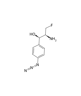 [N-]=[N+]=Nc1ccc([C@@H](O)[C@H](N)CF)cc1